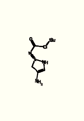 CC(C)(C)OC(=O)N=S1CC(N)=CN1